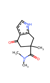 CN(C)C(=O)C1(C)CC(=O)c2cc[nH]c2C1